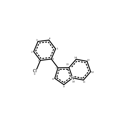 Clc1ccccc1-c1ccn2ccccc12